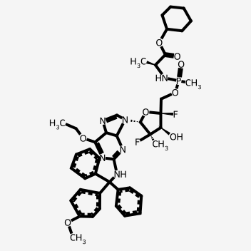 CCOC1=NC(NC(c2ccccc2)(c2ccccc2)c2ccc(OC)cc2)=NC2C1N=CN2[C@@H]1O[C@](F)(COP(C)(=O)N[C@@H](C)C(=O)OC2CCCCC2)[C@@H](O)[C@@]1(C)F